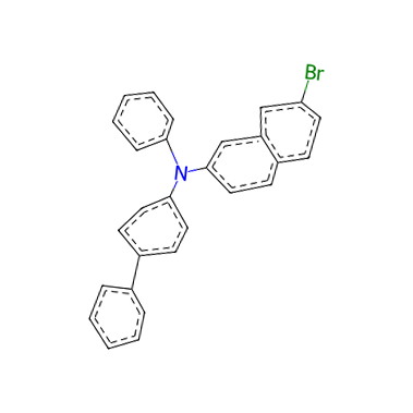 Brc1ccc2ccc(N(c3ccccc3)c3ccc(-c4ccccc4)cc3)cc2c1